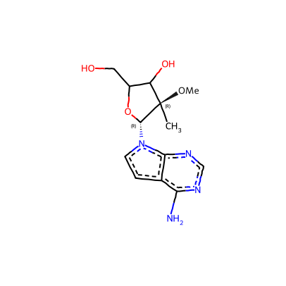 CO[C@]1(C)C(O)C(CO)O[C@H]1n1ccc2c(N)ncnc21